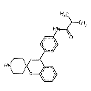 CC(C)C(=O)Nc1ccc(C2=CC3(CCNCC3)Oc3ccccc32)cc1